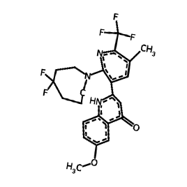 COc1ccc2[nH]c(-c3cc(C)c(C(F)(F)F)nc3N3CCCC(F)(F)CC3)cc(=O)c2c1